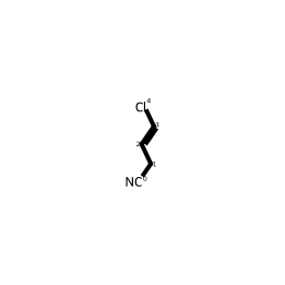 N#CC/C=C/Cl